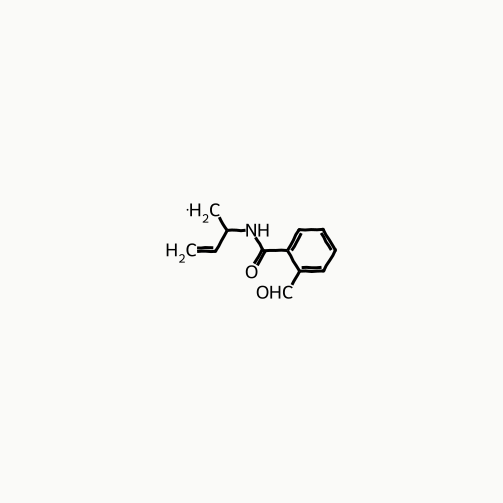 [CH2]C(C=C)NC(=O)c1ccccc1C=O